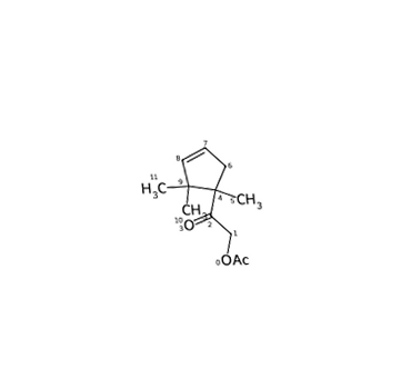 CC(=O)OCC(=O)C1(C)CC=CC1(C)C